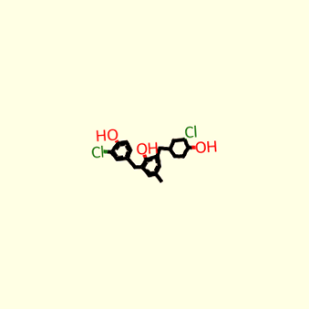 Cc1cc(Cc2ccc(O)c(Cl)c2)c(O)c(CC2CCC(O)C(Cl)C2)c1